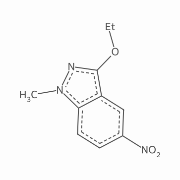 CCOc1nn(C)c2ccc([N+](=O)[O-])cc12